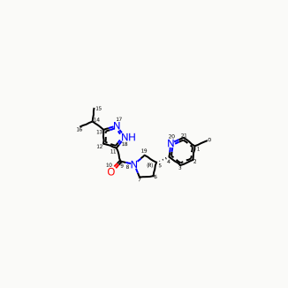 Cc1ccc([C@@H]2CCN(C(=O)c3cc(C(C)C)n[nH]3)C2)nc1